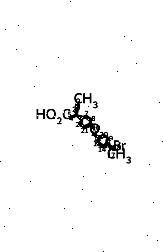 CC#CC(CC(=O)O)c1ccc(OCc2ccc(C(C)Br)cc2)cc1